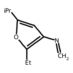 C=Nc1cc(C(C)C)oc1CC